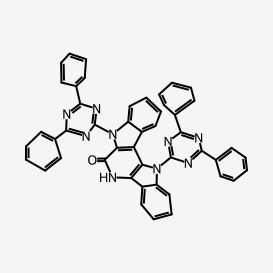 O=c1[nH]c2c3ccccc3n(-c3nc(-c4ccccc4)nc(-c4ccccc4)n3)c2c2c3ccccc3n(-c3nc(-c4ccccc4)nc(-c4ccccc4)n3)c12